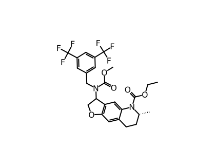 CCOC(=O)N1c2cc3c(cc2CC[C@H]1C)OCC3N(Cc1cc(C(F)(F)F)cc(C(F)(F)F)c1)C(=O)OC